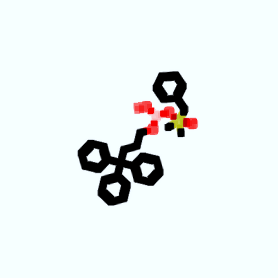 CS(C)(=O)(Cc1ccccc1)OB(O)OCCCC(c1ccccc1)(c1ccccc1)c1ccccc1